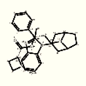 CC(=O)N1CC[C@@H]1C(=O)N[C@@H](CCN1C2CCC1CC(n1c(C)nc3ccccc31)C2)c1ccccc1